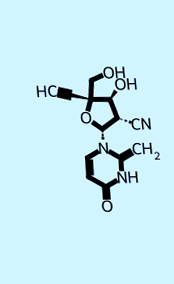 C#C[C@]1(CO)O[C@@H](N2C=CC(=O)NC2=C)[C@@H](C#N)[C@@H]1O